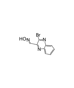 ON=Cc1nc2ccccc2nc1Br